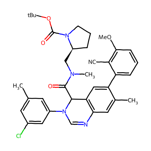 COc1cccc(-c2cc3c(cc2C)N=CN(c2cc(C)cc(Cl)c2)C3C(=O)N(C)C[C@@H]2CCCN2C(=O)OC(C)(C)C)c1C#N